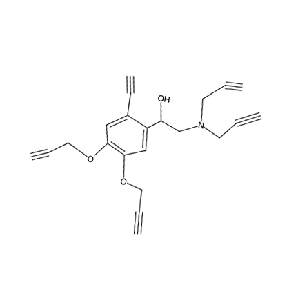 C#CCOc1cc(C#C)c(C(O)CN(CC#C)CC#C)cc1OCC#C